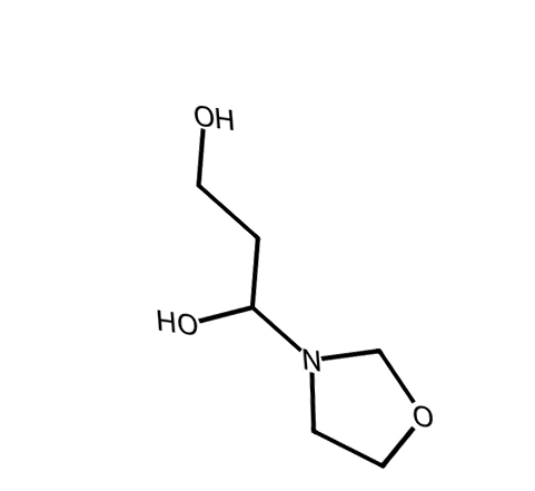 OCCC(O)N1CCOC1